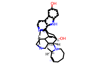 Oc1ccc2[nH]c3c(C4=C[C@@]5(O)CC/C=C/CCCCN6CCC4[C@]4(C[C@@H]7/C=C\CCCCN7[C@H]45)C6)nccc3c2c1